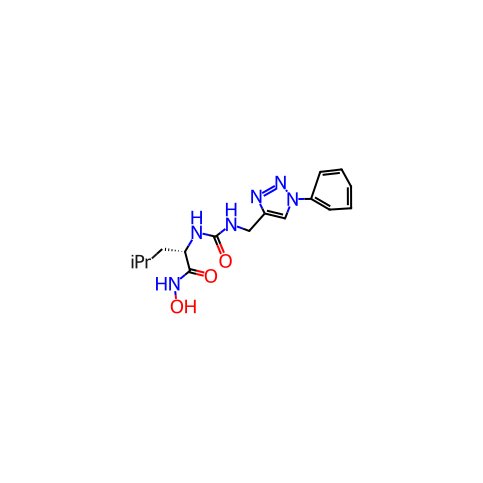 CC(C)C[C@H](NC(=O)NCc1cn(-c2ccccc2)nn1)C(=O)NO